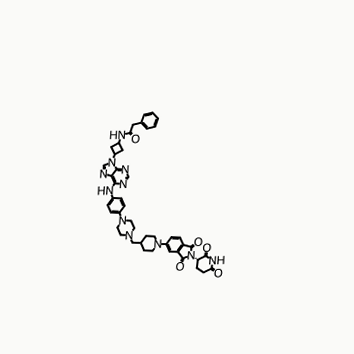 O=C1CC[C@H](N2C(=O)c3ccc(N4CCC(CN5CCN(c6ccc(Nc7ncnc8c7ncn8C7CC(NC(=O)Cc8ccccc8)C7)cc6)CC5)CC4)cc3C2=O)C(=O)N1